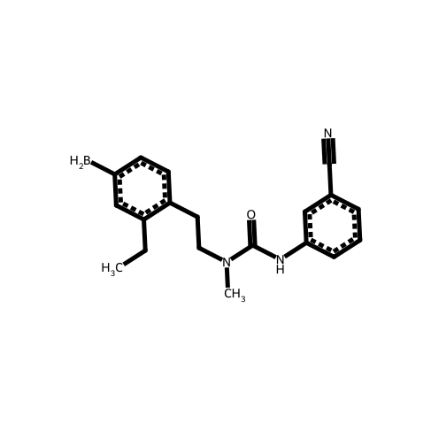 Bc1ccc(CCN(C)C(=O)Nc2cccc(C#N)c2)c(CC)c1